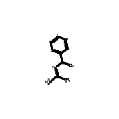 NC(N)=NC(Cl)c1ccccc1